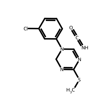 CSC1=NCN(c2cccc(Cl)c2)C=N1.N=C=O